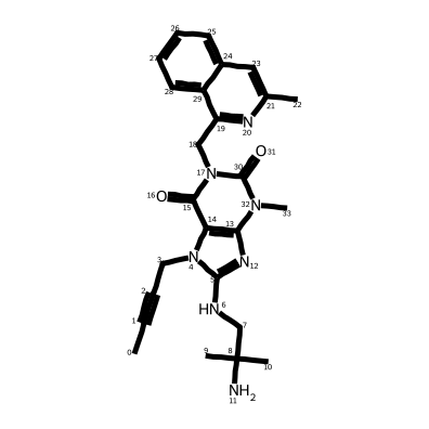 CC#CCn1c(NCC(C)(C)N)nc2c1c(=O)n(Cc1nc(C)cc3ccccc13)c(=O)n2C